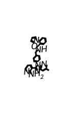 Cc1cnc2c(c1)nc(-c1cccnc1N)n2-c1ccc(CNC(=O)c2ccccc2-n2cccc2)cc1